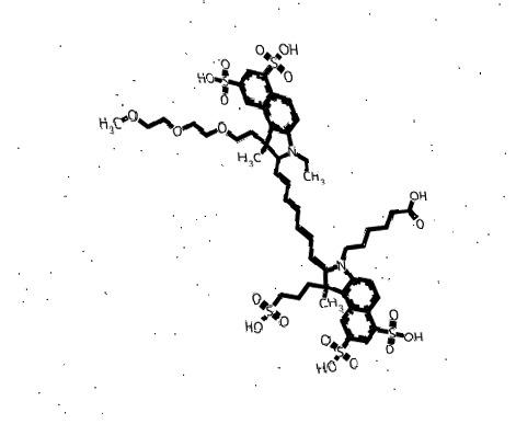 CCN1c2ccc3c(S(=O)(=O)O)cc(S(=O)(=O)O)cc3c2C(C)(CCOCCOCCOC)C1C=CC=CC=CC=C1N(CCCCCC(=O)O)c2ccc3c(S(=O)(=O)O)cc(S(=O)(=O)O)cc3c2C1(C)CCCS(=O)(=O)O